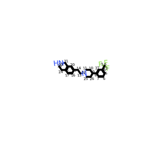 FC(F)(F)c1cccc(C2CCN(CCc3ccc4c(c3)CNCC4)CC2)c1